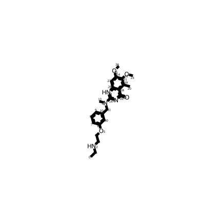 CCNCCOc1cccc(CN(C)c2nc(=O)c3c(C)c(OC)c(OC)cc3[nH]2)c1